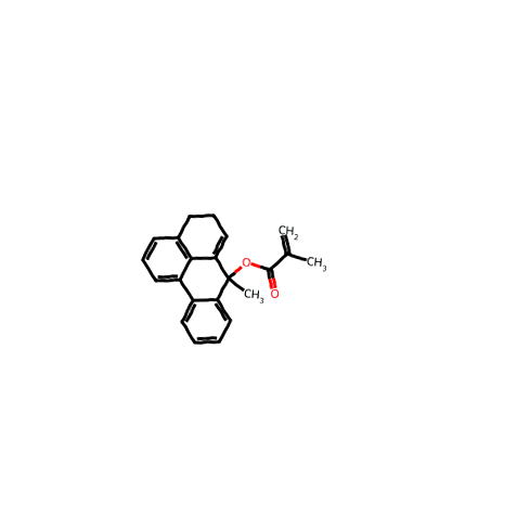 C=C(C)C(=O)OC1(C)C2=CCCc3cccc(c32)-c2ccccc21